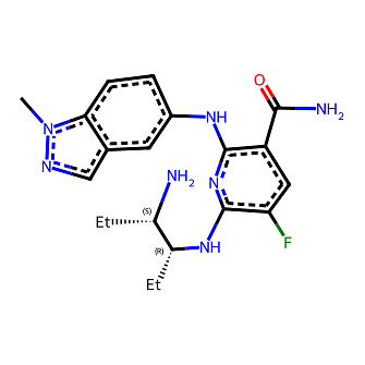 CC[C@H](N)[C@@H](CC)Nc1nc(Nc2ccc3c(cnn3C)c2)c(C(N)=O)cc1F